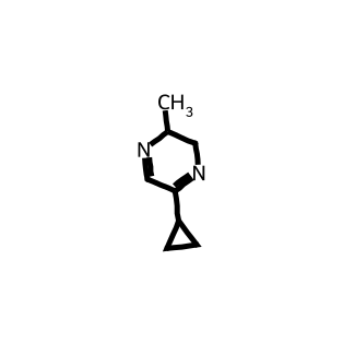 CC1CN=C(C2CC2)C=N1